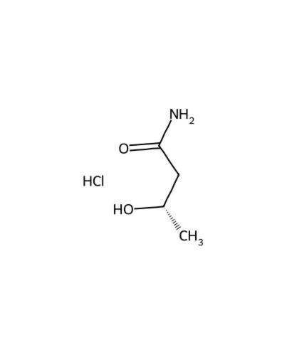 C[C@H](O)CC(N)=O.Cl